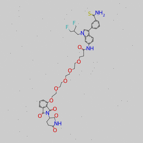 NC(=S)c1cccc(-c2cn(CC(CF)CF)c3cc(NC(=O)CCOCCOCCOCCOCCOc4cccc5c4C(=O)N(C4CCC(=O)NC4=O)C5=O)ccc23)c1